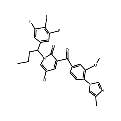 CCCC(c1cc(F)c(F)c(F)c1)n1cc(Cl)cc(C(=O)c2ccc(-n3cnc(C)c3)c(OC)c2)c1=O